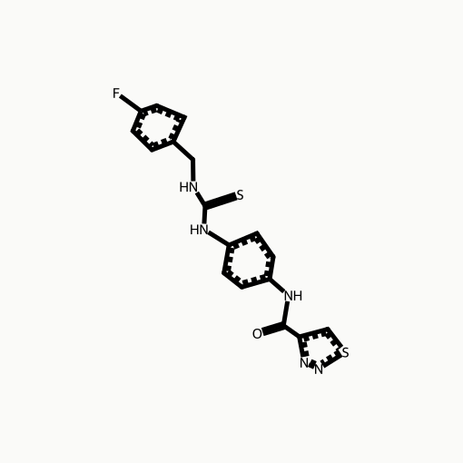 O=C(Nc1ccc(NC(=S)NCc2ccc(F)cc2)cc1)c1csnn1